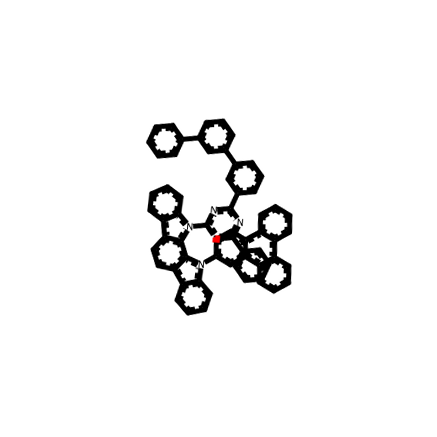 c1ccc(-c2cccc(-c3cccc(-c4nc(-c5ccccc5)nc(-n5c6ccccc6c6ccc7c8ccccc8n(-c8ccc9c%10ccccc%10c%10ccccc%10c9c8)c7c65)n4)c3)c2)cc1